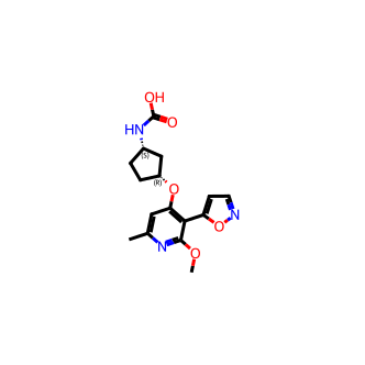 COc1nc(C)cc(O[C@@H]2CC[C@H](NC(=O)O)C2)c1-c1ccno1